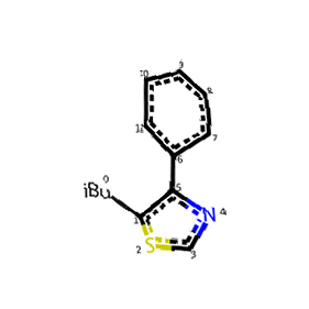 CCC(C)c1scnc1-c1ccccc1